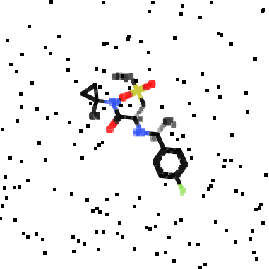 CCCCCCCS(=O)(=O)C[C@H](N[C@@H](c1ccc(F)cc1)C(F)(F)F)C(=O)NC1(C#N)CC1